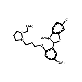 COc1ccc(OCCCN2CCC[C@H]2COC(C)=O)c(C2Sc3cc(Cl)ccc3N2C(C)=O)c1